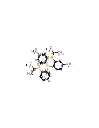 Cc1ccc(P(c2ccccc2)c2ccc(C)cc2P(C(C)C)C(C)C)c(P(C(C)C)C(C)C)c1